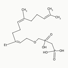 CCC(=CCOCP(=O)(O)CP(=O)(O)O)CCC=C(C)CCC=C(C)C